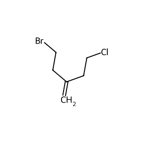 C=C(CCCl)CCBr